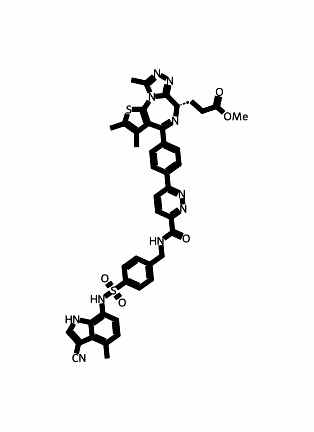 COC(=O)CC[C@@H]1N=C(c2ccc(-c3ccc(C(=O)NCc4ccc(S(=O)(=O)Nc5ccc(C)c6c(C#N)c[nH]c56)cc4)nn3)cc2)c2c(sc(C)c2C)-n2c(C)nnc21